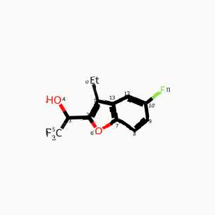 CCc1c(C(O)C(F)(F)F)oc2ccc(F)cc12